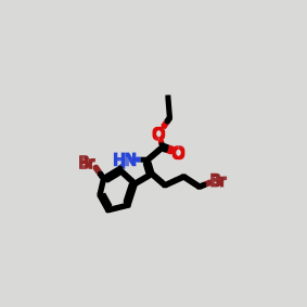 CCOC(=O)c1[nH]c2c(Br)cccc2c1CCCBr